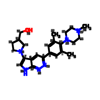 Cc1cc(-c2cc3c(N4CCC(CO)C4)c[nH]c3nn2)cc(C)c1N1CCN(C)CC1